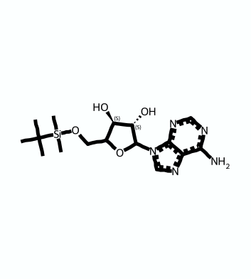 CC(C)(C)[Si](C)(C)OCC1OC(n2cnc3c(N)ncnc32)[C@@H](O)[C@@H]1O